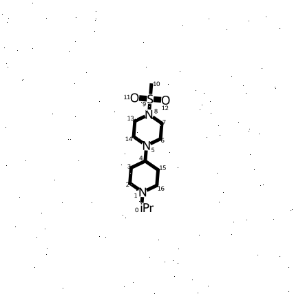 CC(C)N1CCC(N2CCN(S(C)(=O)=O)CC2)CC1